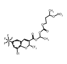 CCc1cc(S(F)(F)(F)(F)F)cc2c1O[C@H](C(F)(F)F)C(C(=O)OC(C)OC(=O)OCCC(C)O[N+](=O)[O-])=C2